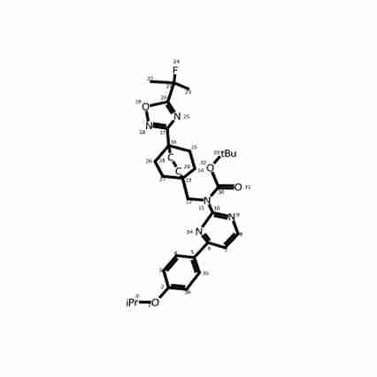 CC(C)Oc1ccc(-c2ccnc(N(CC34CCC(c5noc(C(C)(C)F)n5)(CC3)CC4)C(=O)OC(C)(C)C)n2)cc1